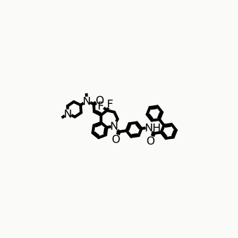 CN1CCC(N(C)C(=O)C=C2c3ccccc3N(C(=O)c3ccc(NC(=O)c4ccccc4-c4ccccc4)cc3)CCC2(F)F)CC1